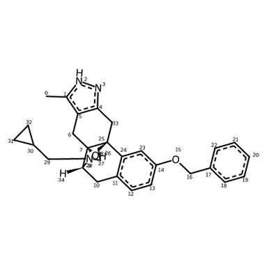 Cc1[nH]nc2c1C[C@@]1(O)[C@H]3Cc4ccc(OCc5ccccc5)cc4[C@@]1(CCN3CC1CC1)C2